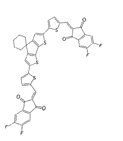 O=C1C(=Cc2ccc(-c3cc4c(s3)-c3sc(-c5ccc(C=C6C(=O)c7cc(F)c(F)cc7C6=O)s5)cc3C43CCCCC3)s2)C(=O)c2cc(F)c(F)cc21